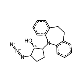 [N-]=[N+]=NC1CCC(N2c3ccccc3CCc3ccccc32)[C@@H]1O